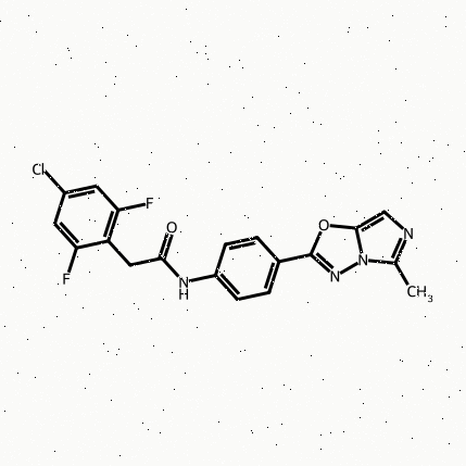 Cc1ncc2oc(-c3ccc(NC(=O)Cc4c(F)cc(Cl)cc4F)cc3)nn12